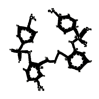 Cc1ccc(S(=O)(=O)Oc2ccc(C)cc2CCCc2ccccc2OS(=O)(=O)c2ccc([N+](=O)[O-])cc2)cc1